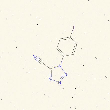 N#Cc1nnnn1-c1ccc(I)cc1